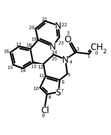 C=CC(=O)N1Cc2sc(Cl)cc2[C@@H](c2ccccc2-c2ccncn2)C1